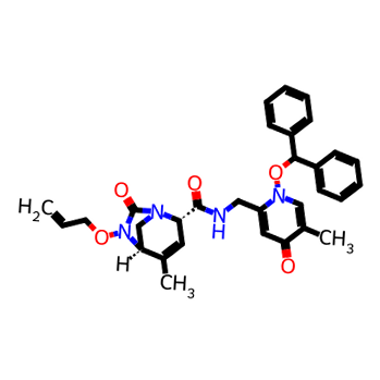 C=CCON1C(=O)N2C[C@H]1C(C)=C[C@H]2C(=O)NCc1cc(=O)c(C)cn1OC(c1ccccc1)c1ccccc1